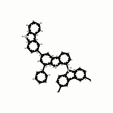 Cc1ccc2c(c1)c1cc(C)ccc1n2-c1cccc2c1sc1c(-c3ccccc3)cc(-c3ccc4oc5ccccc5c4c3)cc12